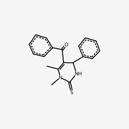 CC1=C(C(=O)c2ccccc2)C(c2ccccc2)NC(=S)N1C